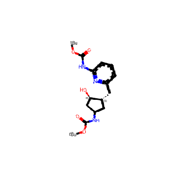 CC(C)(C)OC(=O)Nc1cccc(C[C@@H]2CC(NC(=O)OC(C)(C)C)C[C@H]2O)n1